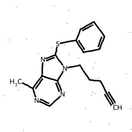 C#CCCCn1c(Sc2ccccc2)nc2c(C)ncnc21